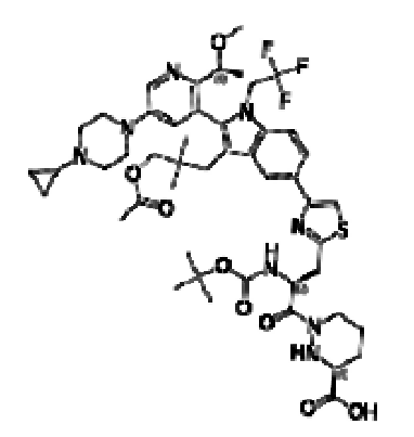 CO[C@@H](C)c1ncc(N2CCN(C3CC3)CC2)cc1-c1c(CC(C)(C)COC(C)=O)c2cc(-c3csc(C[C@H](NC(=O)OC(C)(C)C)C(=O)N4CCC[C@@H](C(=O)O)N4)n3)ccc2n1CC(F)(F)F